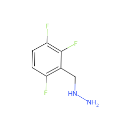 NNCc1c(F)ccc(F)c1F